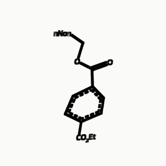 CCCCCCCCCCOC(=O)c1ccc(C(=O)OCC)cc1